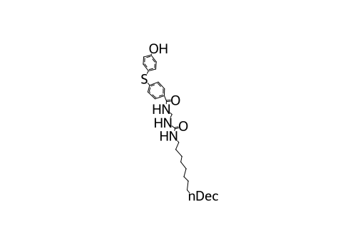 CCCCCCCCCCCCCCCCCCNC(=O)NCNC(=O)c1ccc(Sc2ccc(O)cc2)cc1